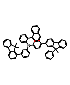 CC1(C)c2ccccc2-c2cccc(-c3cccc(N(c4ccc(-c5ccc6c(c5)C(C)(c5ccccc5)c5ccccc5-6)cc4)c4ccccc4-c4cccc5ccccc45)c3)c21